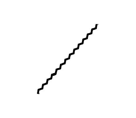 [CH2]CCCCCCC=CCCCCCCCCCCCCCCCCCC[CH2]